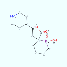 O=C(O)C1(CCC2CCNCC2)CCCCP1(=O)O